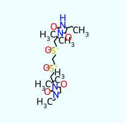 CCC1NC(=O)N(C(C)(C)CC[S+]([O-])CCC[S+]([O-])CCC(C)(C)N2C(=O)CN(CC)C2=O)C1=O